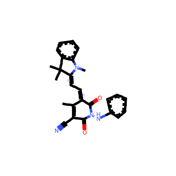 CC1=C(C#N)C(=O)N(Nc2ccccc2)C(=O)/C1=C/C=C1\N(C)c2ccccc2C1(C)C